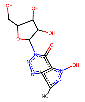 N#Cc1nn(O)c2c(=O)n(C3OC(CO)C(O)C3O)nnc12